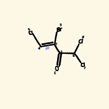 O=C(/C(Br)=C/Cl)C(Cl)Cl